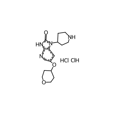 Cl.Cl.O=c1[nH]c2ncc(OC3CCOCC3)cc2n1C1CCNCC1